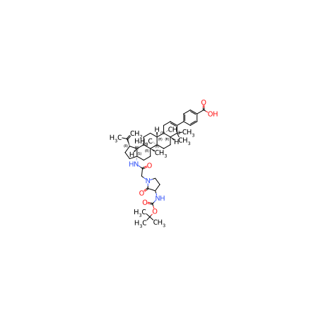 C=C(C)[C@@H]1CC[C@]2(NC(=O)CN3CCC(NC(=O)OC(C)(C)C)C3=O)CC[C@]3(C)[C@H](CC[C@@H]4[C@@]5(C)CC=C(c6ccc(C(=O)O)cc6)C(C)(C)[C@@H]5CC[C@]43C)[C@@H]12